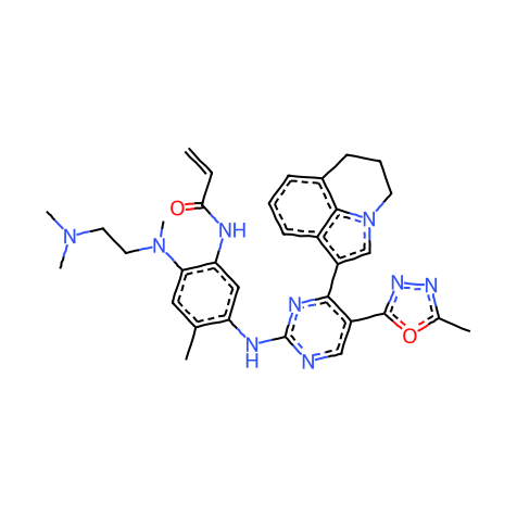 C=CC(=O)Nc1cc(Nc2ncc(-c3nnc(C)o3)c(-c3cn4c5c(cccc35)CCC4)n2)c(C)cc1N(C)CCN(C)C